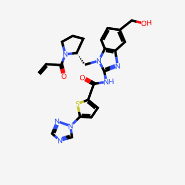 C=CC(=O)N1CCC[C@@H]1Cn1c(NC(=O)c2ccc(-n3cncn3)s2)nc2cc(CO)ccc21